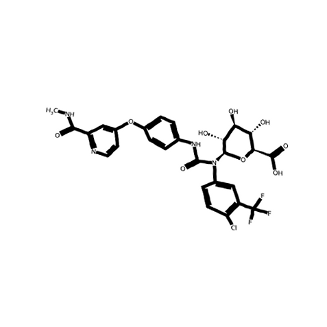 CNC(=O)c1cc(Oc2ccc(NC(=O)N(c3ccc(Cl)c(C(F)(F)F)c3)[C@@H]3O[C@H](C(=O)O)[C@@H](O)[C@H](O)[C@H]3O)cc2)ccn1